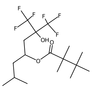 CC(C)CC(CC(O)(C(F)(F)F)C(F)(F)F)OC(=O)C(C)(C)C(C)(C)C